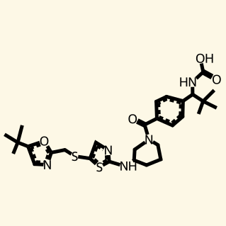 CC(C)(C)c1cnc(CSc2cnc(NC3CCCN(C(=O)c4ccc(C(NC(=O)O)C(C)(C)C)cc4)C3)s2)o1